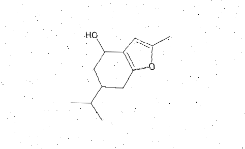 Cc1cc2c(o1)CC(C(C)C)CC2O